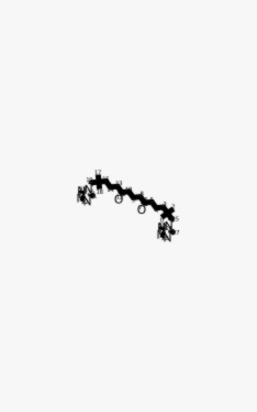 CC(C)(CCCC(=O)CCCC(=O)CCCC(C)(C)Cn1cnnn1)Cn1cnnn1